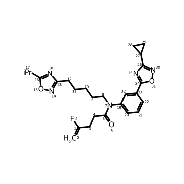 C=C(F)CCC(=O)N(CCCCCc1noc(C(C)C)n1)c1cccc(-c2nc(C3CC3)no2)c1